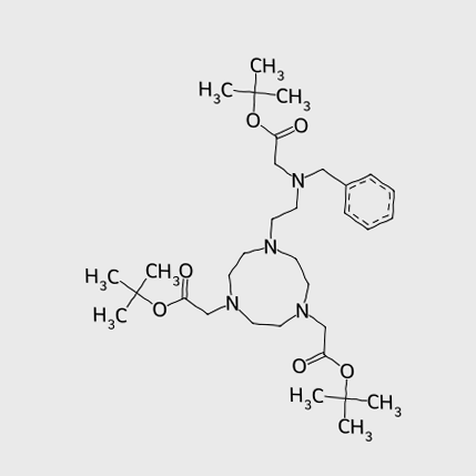 CC(C)(C)OC(=O)CN1CCN(CCN(CC(=O)OC(C)(C)C)Cc2ccccc2)CCN(CC(=O)OC(C)(C)C)CC1